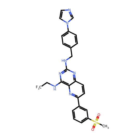 CS(=O)(=O)c1cccc(-c2ccc3nc(NCc4ccc(-n5ccnc5)cc4)nc(NCC(F)(F)F)c3n2)c1